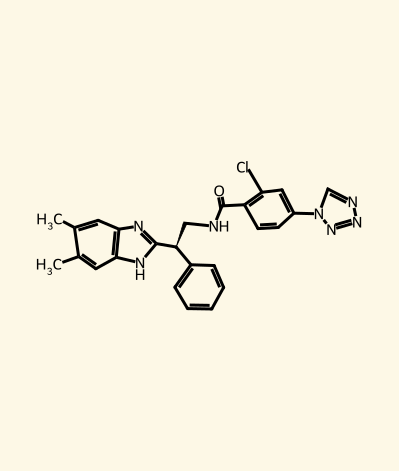 Cc1cc2nc([C@@H](CNC(=O)c3ccc(-n4cnnn4)cc3Cl)c3ccccc3)[nH]c2cc1C